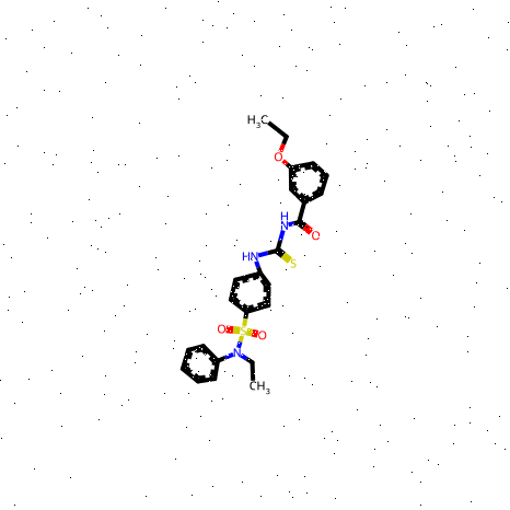 CCOc1cccc(C(=O)NC(=S)Nc2ccc(S(=O)(=O)N(CC)c3ccccc3)cc2)c1